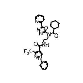 O=C(NCCN(C(=O)C1CCCCC1)c1nnc(-c2ccccn2)o1)c1cn(-c2ccccc2)nc1C(F)(F)F